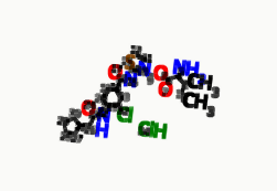 CC[C@H](C)[C@H](N)C(=O)OCn1ccs/c1=N\C(=O)c1ccc(NC(=O)CC2CCCC2)c(Cl)c1.Cl